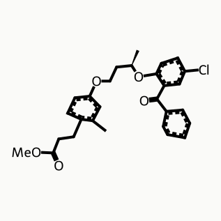 COC(=O)CCc1ccc(OCC[C@@H](C)Oc2ccc(Cl)cc2C(=O)c2ccccc2)cc1C